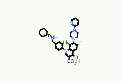 C1CCCCC1.CC(C)NCc1ccc(-n2cc(C(=O)O)c(=O)c3cc(F)c(N4CCN(c5ccccn5)CC4)c(Cl)c32)cc1